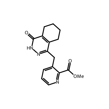 COC(=O)c1ncccc1Cc1n[nH]c(=O)c2c1CCCC2